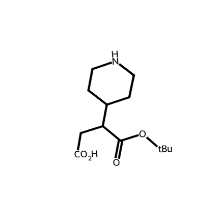 CC(C)(C)OC(=O)C(CC(=O)O)C1CCNCC1